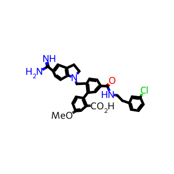 COc1ccc(-c2cc(C(=O)NCCc3cccc(Cl)c3)ccc2CN2CCc3cc(C(=N)N)ccc32)c(C(=O)O)c1